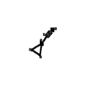 N#CN1[CH]C1